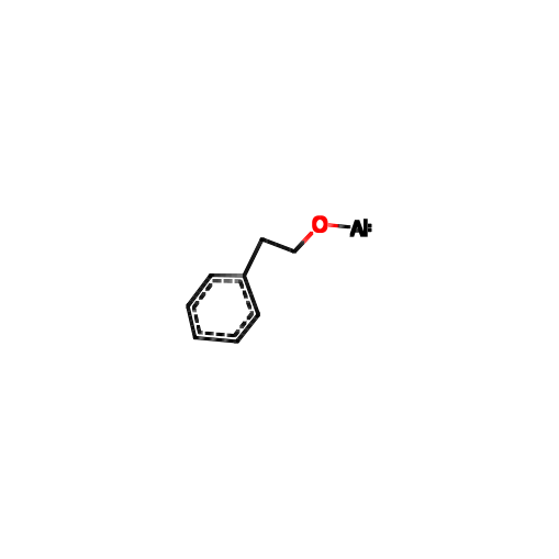 [Al][O]CCc1ccccc1